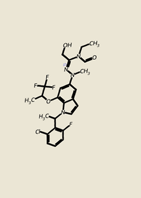 CCN(C=O)/C(CO)=N\N(C)c1cc(OC(C)C(F)(F)F)c2c(ccn2C(C)c2c(F)cccc2Cl)c1